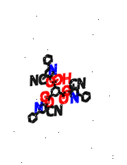 N#Cc1cc(-c2ccccc2)ncc1OC(=O)C1CC(C(=O)Oc2cnc(-c3ccccc3)cc2C#N)CC(C(O)Oc2cnc(-c3ccccc3)cc2C#N)C1